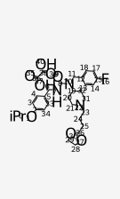 CC(C)Oc1ccc(CNC(=O)N(Cc2ccc(F)cc2)C2CCN(CCCC3OCCO3)CC2)cc1.O=C(O)C(=O)O